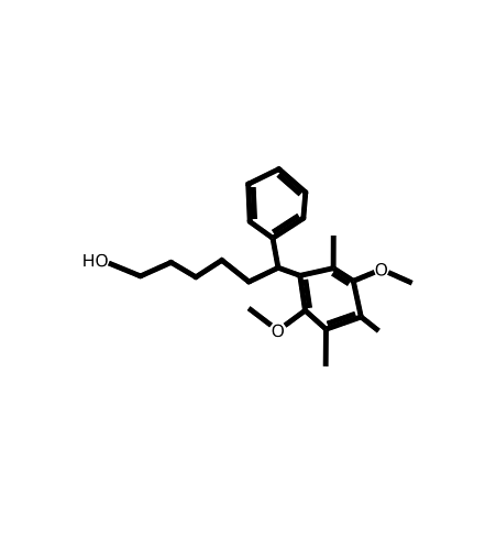 COc1c(C)c(C)c(OC)c(C(CCCCCO)c2ccccc2)c1C